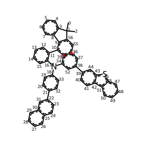 CC1(C)c2ccccc2-c2c(-c3ccccc3N(c3ccc(-c4ccc5ccccc5c4)cc3)c3cccc(-c4ccc5c(c4)sc4ccccc45)c3)cccc21